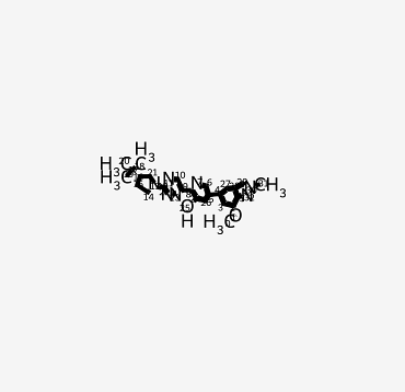 COc1cc(-c2cnc(-c3cnc(N4CC[C@H](C(C)(C)C)C4)nn3)c(O)c2)cc2cn(C)nc12